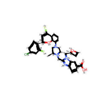 C[C@H]1CN(c2cccc3c2O[C@H](c2ccc(Cl)cc2F)C=C3F)CCN1Cc1nc2ccc(C(=O)O)cc2n1C[C@@H]1CCO1